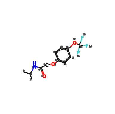 CC(C)NC(=O)COc1ccc(OC(F)(F)F)cc1